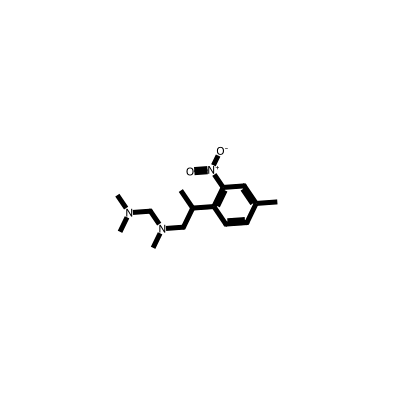 Cc1ccc(C(C)CN(C)CN(C)C)c([N+](=O)[O-])c1